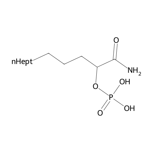 CCCCCCCCCCC(OP(=O)(O)O)C(N)=O